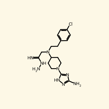 N=C(CN(CCc1ccc(Cl)cc1)C1CCN(c2nc(N)n[nH]2)CC1)NN